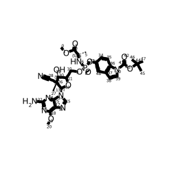 COC(=O)[C@H](C)NP(=O)(OCC1O[C@@H](n2cnc3c(OC)nc(N)nc32)[C@](C)(C#N)[C@@H]1O)Oc1ccc2c(ccn2C(=O)OC(C)(C)C)c1